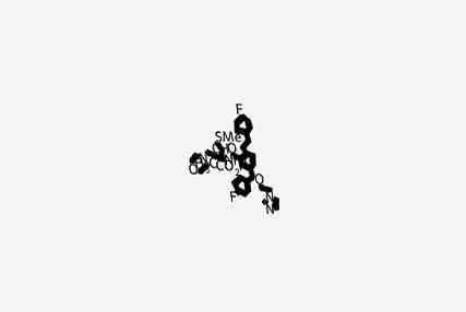 CSCC[C@@](NC(=O)c1cc(C(OCCn2ccnc2)c2ccc(F)cc2)ccc1CCc1ccc(F)cc1)(C(=O)O)C(C)(C)CN1CCOCC1